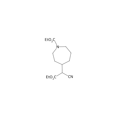 CCOC(=O)C(C#N)C1CCCN(C(=O)OCC)CC1